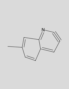 Cc1ccc2cc#cnc2c1